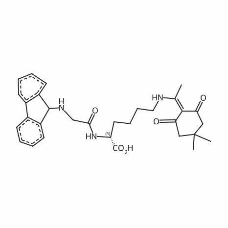 CC(NCCCC[C@@H](NC(=O)CNC1c2ccccc2-c2ccccc21)C(=O)O)=C1C(=O)CC(C)(C)CC1=O